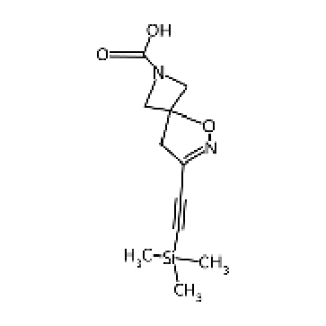 C[Si](C)(C)C#CC1=NOC2(C1)CN(C(=O)O)C2